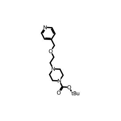 CC(C)(C)OC(=O)N1CCN(CCOCc2ccncc2)CC1